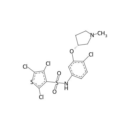 CN1CC[C@@H](Oc2cc(NS(=O)(=O)c3c(Cl)sc(Cl)c3Cl)ccc2Cl)C1